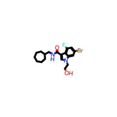 O=C(NCC1CCCCCC1)c1cn(CCO)c2cc(Br)cc(F)c12